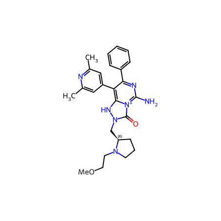 COCCN1CCC[C@@H]1Cn1[nH]c2c(-c3cc(C)nc(C)c3)c(-c3ccccc3)nc(N)[n+]2c1=O